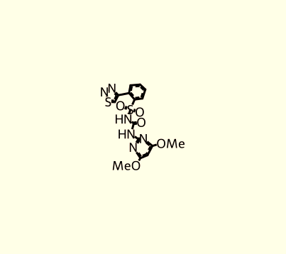 COc1cc(OC)nc(NC(=O)NS(=O)(=O)c2ccccc2-c2csnn2)n1